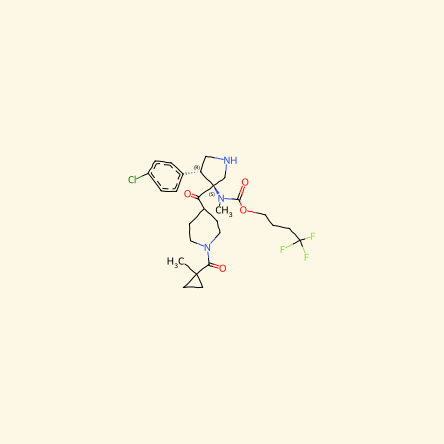 CN(C(=O)OCCCC(F)(F)F)[C@]1(C(=O)C2CCN(C(=O)C3(C)CC3)CC2)CNC[C@H]1c1ccc(Cl)cc1